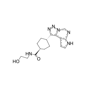 O=C(NCCO)[C@H]1CC[C@H](c2nnn3cnc4[nH]ccc4c23)CC1